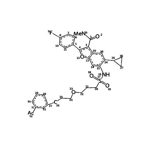 CNC(=O)c1c(-c2ccc(F)cc2)oc2cc(NS(=O)(=O)CCCOCCCc3cccc(C(C)=O)c3)c(C3CC3)cc12